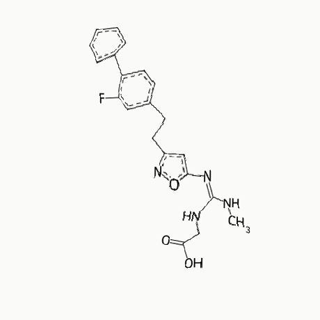 CNC(=Nc1cc(CCc2ccc(-c3ccccc3)c(F)c2)no1)NCC(=O)O